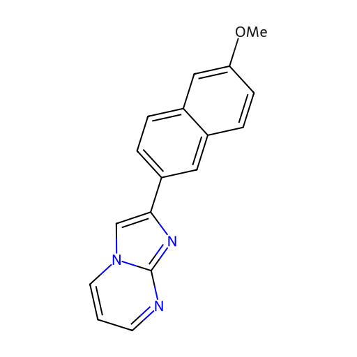 COc1ccc2cc(-c3cn4cccnc4n3)ccc2c1